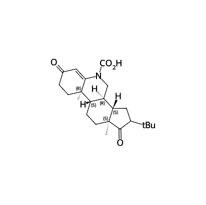 CC(C)(C)C1C[C@H]2[C@@H]3CN(C(=O)O)C4=CC(=O)CC[C@]4(C)[C@H]3CC[C@]2(C)C1=O